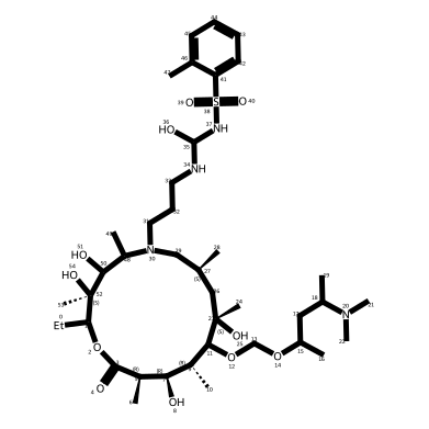 CCC1OC(=O)[C@H](C)[C@H](O)[C@@H](C)C(OCOC(C)CC(C)N(C)C)[C@@](C)(O)C[C@H](C)CN(CCCNC(O)NS(=O)(=O)c2ccccc2C)C(C)C(O)[C@]1(C)O